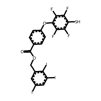 O=C(OCc1cc(I)cc(I)c1I)c1ccc(Oc2c(F)c(F)c(S)c(F)c2F)cc1